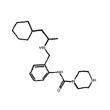 CC(CC1CCCCC1)NCc1ccccc1NC(=O)N1CCNCC1